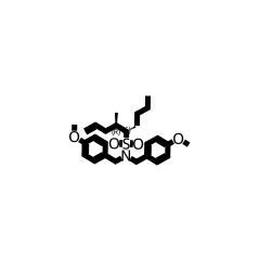 C=CC[C@@H](C)[C@H](CCCC)S(=O)(=O)N(Cc1ccc(OC)cc1)Cc1ccc(OC)cc1